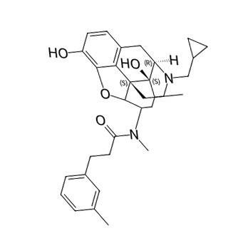 Cc1cccc(CCC(=O)N(C)C2CC(C)[C@@]3(O)[C@H]4Cc5ccc(O)c6c5[C@@]3(CCN4CC3CC3)C2O6)c1